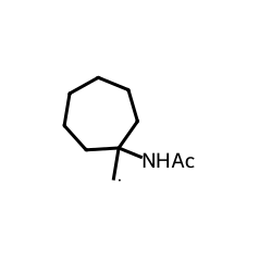 [CH2]C1(NC(C)=O)CCCCCC1